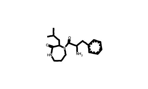 CC(C)CC1C(=O)NCCCN1C(=O)C(N)Cc1ccccc1